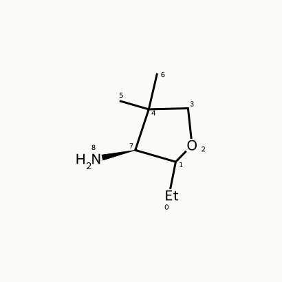 CCC1OCC(C)(C)[C@@H]1N